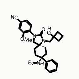 CCN[C@]1(c2ccccc2)CC[C@]2(CC1)CN(c1ccc(C#N)cc1OC)C(=O)N2CC1(O)CCC1